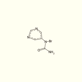 NC(=O)N(Br)c1cncnc1